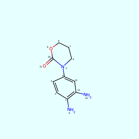 Nc1ccc(N2CCCOC2=O)cc1N